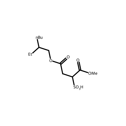 CCCCC(CC)COC(=O)CC(C(=O)OC)S(=O)(=O)O